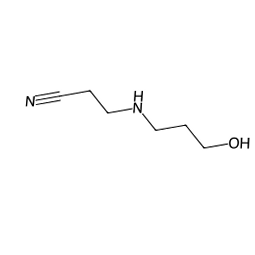 N#CCCNCCCO